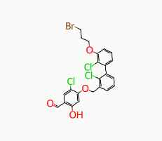 O=Cc1cc(Cl)c(OCc2cccc(-c3cccc(OCCCBr)c3Cl)c2Cl)cc1O